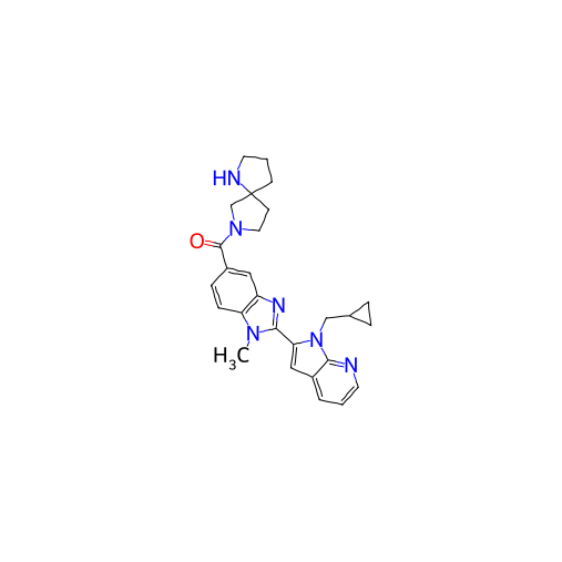 Cn1c(-c2cc3cccnc3n2CC2CC2)nc2cc(C(=O)N3CCC4(CCCN4)C3)ccc21